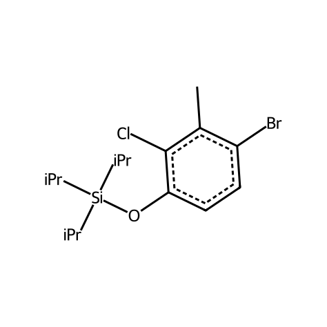 Cc1c(Br)ccc(O[Si](C(C)C)(C(C)C)C(C)C)c1Cl